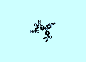 CCCN1CCC(N(c2ccccc2)c2ccc(C(=O)N(CC)CC)cc2)CC1.O=C(O)/C=C/C(=O)O